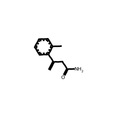 C=C(CC(N)=O)c1ccccc1C